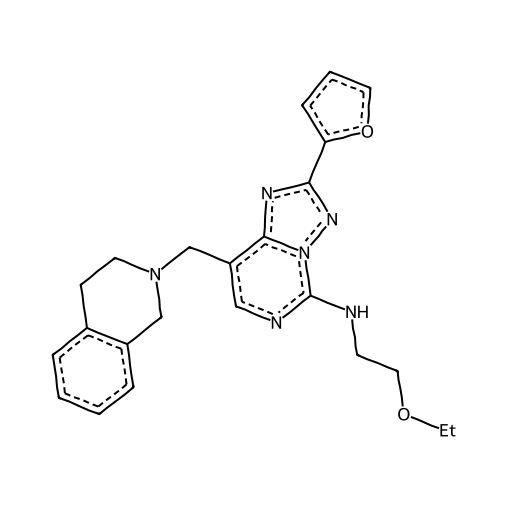 CCOCCNc1ncc(CN2CCc3ccccc3C2)c2nc(-c3ccco3)nn12